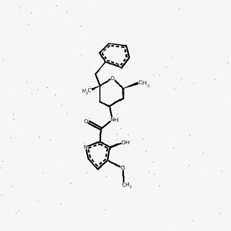 COc1ccnc(C(=O)NC2C[C@H](C)O[C@@](C)(Cc3ccccc3)C2)c1O